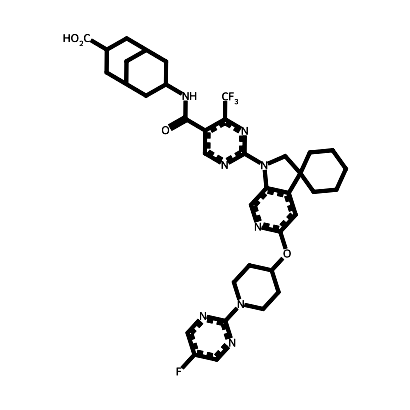 O=C(NC1CC2CC(C1)CC(C(=O)O)C2)c1cnc(N2CC3(CCCCC3)c3cc(OC4CCN(c5ncc(F)cn5)CC4)ncc32)nc1C(F)(F)F